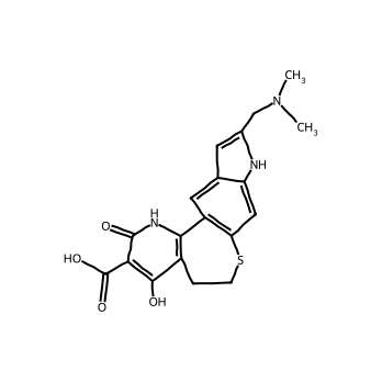 CN(C)Cc1cc2cc3c(cc2[nH]1)SCCc1c-3[nH]c(=O)c(C(=O)O)c1O